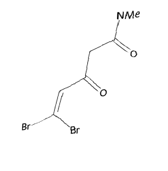 CNC(=O)CC(=O)C=C(Br)Br